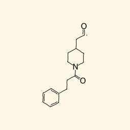 O=[C]CC1CCN(C(=O)CCc2ccccc2)CC1